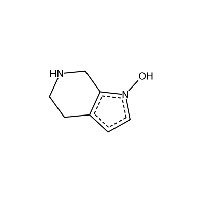 On1ccc2c1CNCC2